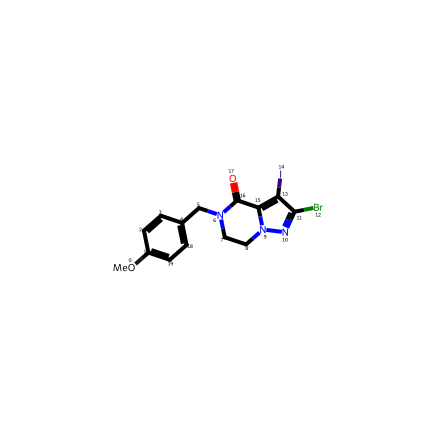 COc1ccc(CN2CCn3nc(Br)c(I)c3C2=O)cc1